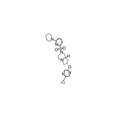 O=S(=O)(c1cccc(N2CCCCC2)n1)N1CCN2C[C@@H](Oc3cnc(C4CC4)cn3)C[C@H]2C1